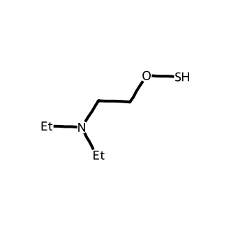 CCN(CC)CCOS